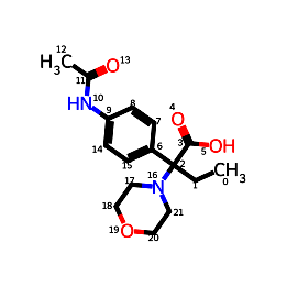 CCC(C(=O)O)(c1ccc(NC(C)=O)cc1)N1CCOCC1